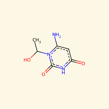 CC(O)n1c(N)cc(=O)[nH]c1=O